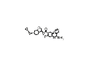 CN(C(=O)c1cc2c(cc1F)nc(N)c1cncn12)[C@@H]1COc2cc(C3CC3C3CC3)ccc21